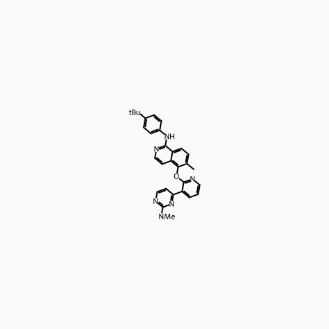 CNc1nccc(-c2cccnc2Oc2c(C)ccc3c(Nc4ccc(C(C)(C)C)cc4)nccc23)n1